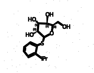 CC(C)c1ccccc1SC1O[C@H](CO)[C@H](O)[C@H](O)[C@H]1O